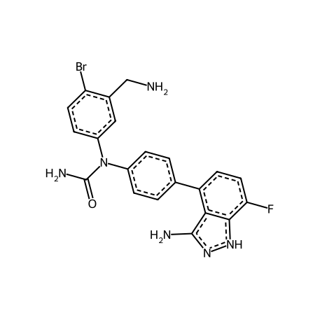 NCc1cc(N(C(N)=O)c2ccc(-c3ccc(F)c4[nH]nc(N)c34)cc2)ccc1Br